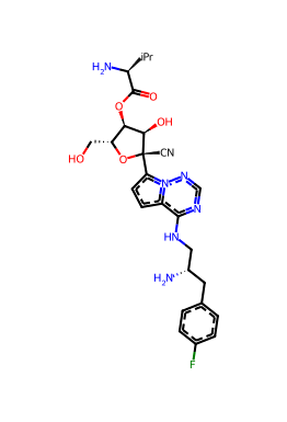 CC(C)[C@H](N)C(=O)O[C@H]1[C@@H](O)[C@](C#N)(c2ccc3c(NC[C@@H](N)Cc4ccc(F)cc4)ncnn23)O[C@@H]1CO